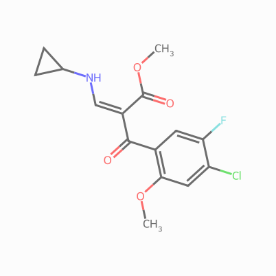 COC(=O)C(=CNC1CC1)C(=O)c1cc(F)c(Cl)cc1OC